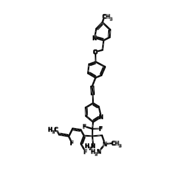 C\C=C(F)/C=C\C(=C\F)C(N)(CN(C)N)C(F)(F)c1ccc(C#Cc2ccc(OCc3ccc(C)cn3)cc2)cn1